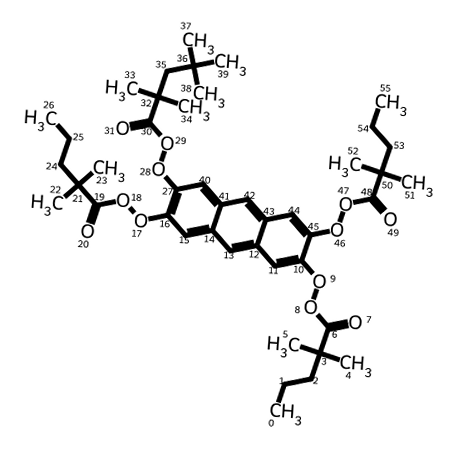 CCCC(C)(C)C(=O)OOc1cc2cc3cc(OOC(=O)C(C)(C)CCC)c(OOC(=O)C(C)(C)CC(C)(C)C)cc3cc2cc1OOC(=O)C(C)(C)CCC